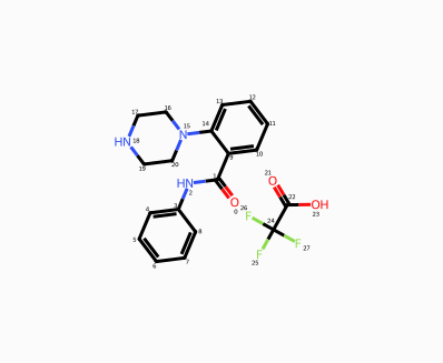 O=C(Nc1ccccc1)c1ccccc1N1CCNCC1.O=C(O)C(F)(F)F